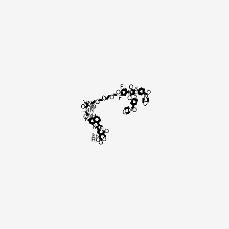 CC[C@@]1(O)C(=O)OCc2c1cc1n(c2=O)Cc2c-1nc1cc(F)c(NC(=O)[C@H](C)NC(=O)[C@](C)(NC(=O)COCCOCCOCCOc3c(F)cc(N4C(=O)C(Sc5ccc(C(=O)N6CCOCC6)cc5)=C(Sc5ccc(C(=O)N6CCOCC6)cc5)C4=O)cc3F)C(C)C)c3c1c2CCC3